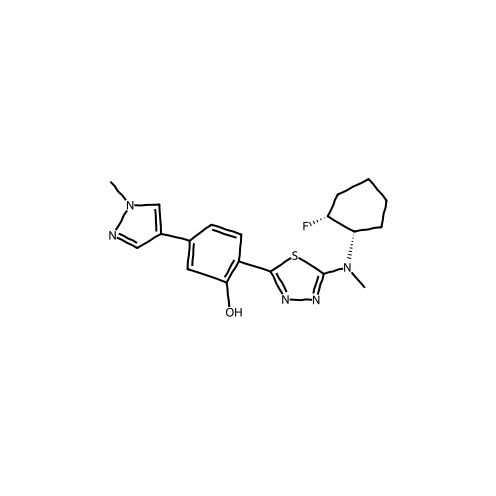 CN(c1nnc(-c2ccc(-c3cnn(C)c3)cc2O)s1)[C@H]1CCCC[C@H]1F